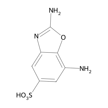 Nc1nc2cc(S(=O)(=O)O)cc(N)c2o1